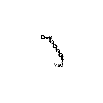 COCCCCOc1ccc(C2=CCN(c3ccc(N4CCN(C(=O)OCc5ccccc5)CC4)cc3)CC2)cc1